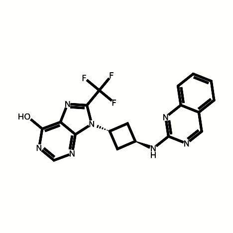 Oc1ncnc2c1nc(C(F)(F)F)n2[C@H]1C[C@H](Nc2ncc3ccccc3n2)C1